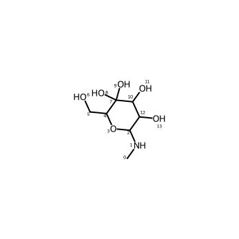 CNC1OC(CO)C(O)(O)C(O)C1O